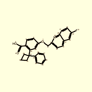 O=C(O)c1ccc(OCc2ccc3cc(F)ccc3n2)cc1C1(c2ccccc2)CCC1